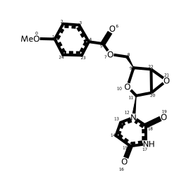 COc1ccc(C(=O)OC[C@@H]2O[C@H](n3ccc(=O)[nH]c3=O)C3OC32)cc1